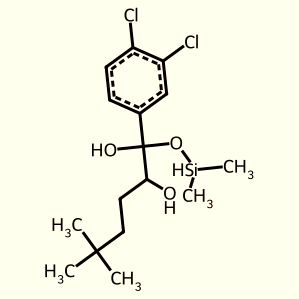 C[SiH](C)OC(O)(c1ccc(Cl)c(Cl)c1)C(O)CCC(C)(C)C